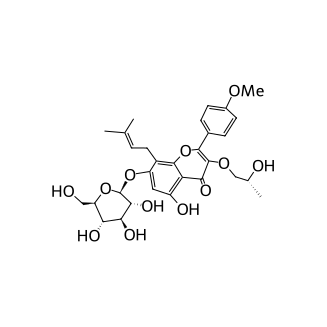 COc1ccc(-c2oc3c(CC=C(C)C)c(O[C@@H]4O[C@H](CO)[C@@H](O)[C@H](O)[C@H]4O)cc(O)c3c(=O)c2OC[C@@H](C)O)cc1